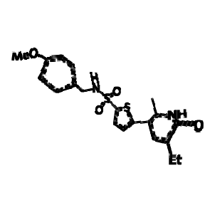 CCc1cc(-c2ccc(S(=O)(=O)NCc3ccc(OC)cc3)s2)c(C)[nH]c1=O